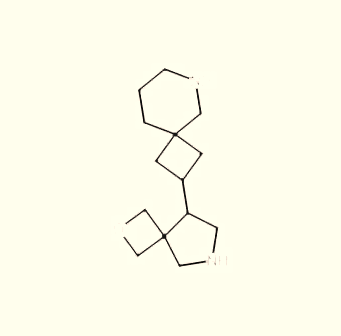 C1CNCC2(C1)CC(C1CNCC13COC3)C2